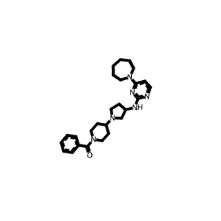 O=C(c1ccccc1)N1CCC(N2CCC(Nc3nccc(N4CCCCCC4)n3)C2)CC1